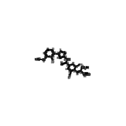 CCCOc1cccc(-c2csc(NC(=O)c3cc(F)c(C=C(OC)C(=O)O)c(F)c3)n2)c1F